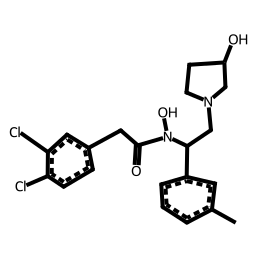 Cc1cccc(C(CN2CCC(O)C2)N(O)C(=O)Cc2ccc(Cl)c(Cl)c2)c1